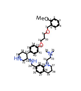 COc1ccccc1COCCCOc1ccc([C@@H]2CCNC[C@@H]2NCc2ccc3c(c2)N(CCN(C)C)CCC3)cc1